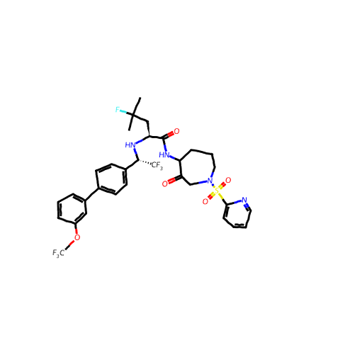 CC(C)(F)C[C@H](N[C@@H](c1ccc(-c2cccc(OC(F)(F)F)c2)cc1)C(F)(F)F)C(=O)NC1CCCN(S(=O)(=O)c2ccccn2)CC1=O